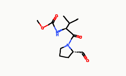 COC(=O)N[C@H](C(=O)N1CCC[C@H]1C=O)C(C)C